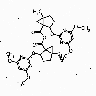 COc1cc(OC)nc(OC2CCC3(C)CC23C(=O)OC(=O)C23CC2(C)CCC3Oc2nc(OC)cc(OC)n2)n1